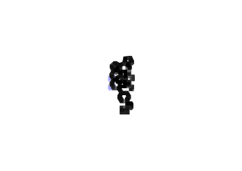 C=C(/C=C\C(C)=C\c1ccc(-c2cccs2)n1C)c1ccc(OCC)cc1